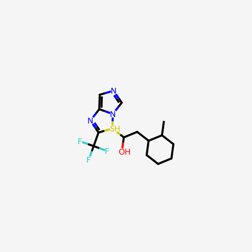 CC1CCCCC1CC(O)[SH]1C(C(F)(F)F)=Nc2cncn21